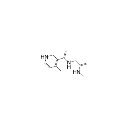 C=C(CNC(=C)C1=C(C)C=CNC1)NC